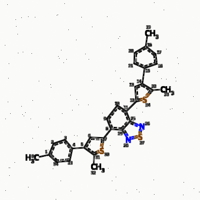 Cc1ccc(-c2cc(-c3ccc(-c4cc(-c5ccc(C)cc5)c(C)s4)c4nsnc34)sc2C)cc1